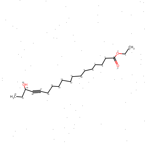 CCOC(=O)CCCCCCCCCCCCC#CC(O)CC